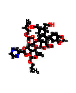 C=CCOC(=O)O[C@H]1[C@H](OC(=O)c2cnccn2)[C@@H](OC(=O)OCC=C)C(Oc2c3c(c(-c4ccc5c(c4)OCO5)c4cc(CO)c(CO)cc24)C(=O)OC3)O[C@@H]1C